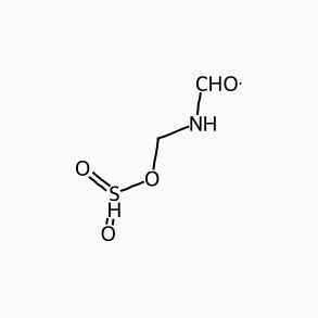 O=[C]NCO[SH](=O)=O